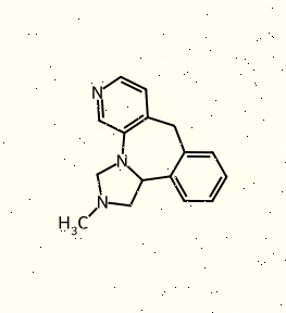 CN1CC2c3ccccc3Cc3ccncc3N2C1